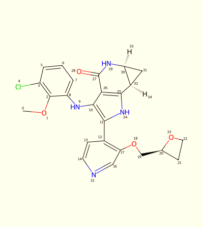 COc1c(Cl)cccc1Nc1c(-c2ccncc2OC[C@@H]2CCO2)[nH]c2c1C(=O)N[C@H]1C[C@@H]21